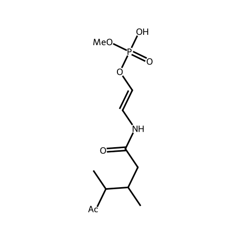 COP(=O)(O)O/C=C/NC(=O)CC(C)C(C)C(C)=O